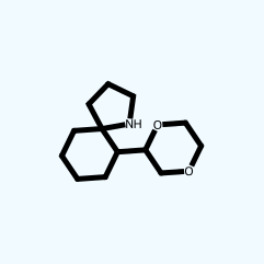 C1CCC2(CCCN2)C(C2COCCO2)C1